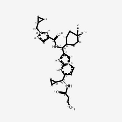 O=C(CCC(F)(F)F)N[C@@H](c1ccn2cc([C@@H](NC(=O)c3cnn(CC4CC4)n3)C3CCC(F)(F)CC3)nc2n1)C1CC1